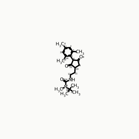 Cc1cc(C)c(C2C(=O)CC(CCNC(=O)N(C)C(C)(C)C)C2=O)c(C)c1